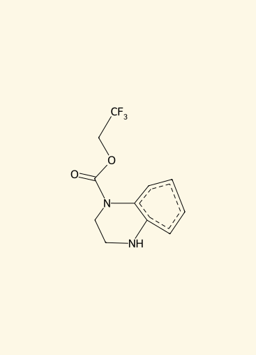 O=C(OCC(F)(F)F)N1CCNc2ccccc21